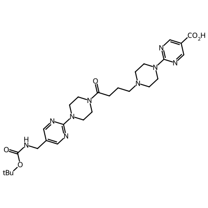 CC(C)(C)OC(=O)NCc1cnc(N2CCN(C(=O)CCCN3CCN(c4ncc(C(=O)O)cn4)CC3)CC2)nc1